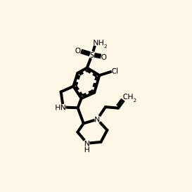 C=CCN1CCNCC1C1NCc2cc(S(N)(=O)=O)c(Cl)cc21